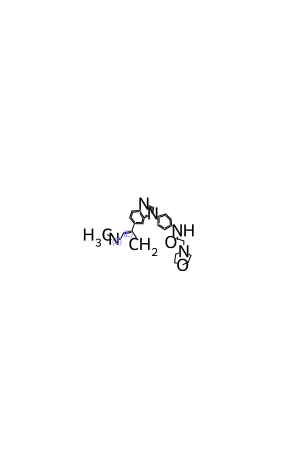 C=C/C(=C\C=N/C)c1ccc2ncn(-c3ccc(NC(=O)CN4CCOCC4)cc3)c2c1